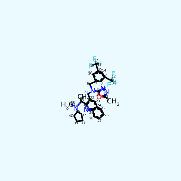 Cc1nnc(N(Cc2cc(C(F)(F)F)cc(C(F)(F)F)c2)Cc2cc3ccccc3nc2C(C)N(C)C2CCCC2)o1